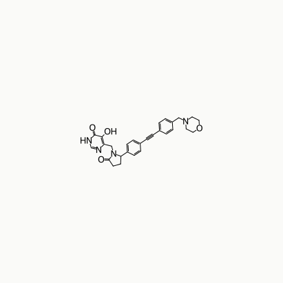 O=C1CCC(c2ccc(C#Cc3ccc(CN4CCOCC4)cc3)cc2)N1Cc1nc[nH]c(=O)c1O